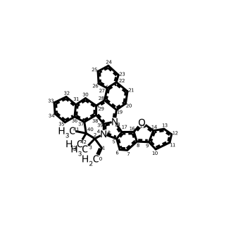 C=CC1(C)[n+]2c3ccc4c5ccccc5oc4c3n3c4ccc5ccccc5c4c4cc5ccccc5c(c4c32)C1(C)C